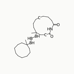 CC1(BBBC2(C)CCCCCCCC(=O)NC(=O)CC2)CCCCCCCCC1